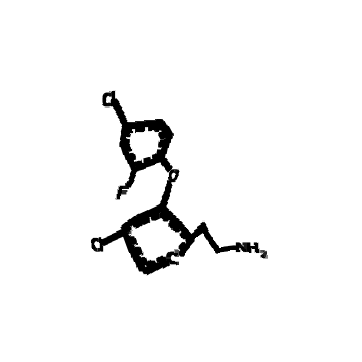 NCCc1ccc(Cl)cc1Oc1ccc(Cl)cc1F